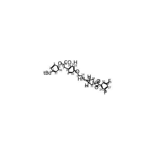 CC(C)(C)c1ccc(O[C@@H](Cc2ccc(OCCN[C@H]3[C@@H]4CN(S(=O)(=O)c5cc(F)cc(F)c5)C[C@@H]43)cc2)C(=O)O)cc1